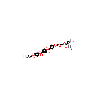 C=CC(=O)Oc1ccc(OC(=O)c2ccc(OC(=O)c3ccc(OCCOCCOC(=O)C(C)CC)cc3)cc2)cc1